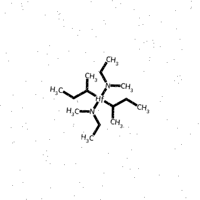 CC[CH](C)[Hf]([CH](C)CC)([N](C)CC)[N](C)CC